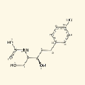 O=C(O)NC(CO)[C@H](O)C=Cc1ccc(Cl)cc1